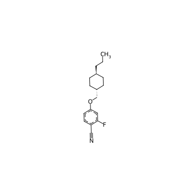 CCC[C@H]1CC[C@H](COc2ccc(C#N)c(F)c2)CC1